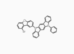 Brc1cccc2oc3ccc(-n4c5ccccc5c5cc6c(cc54)c4ccccc4n6-c4ccccc4)cc3c12